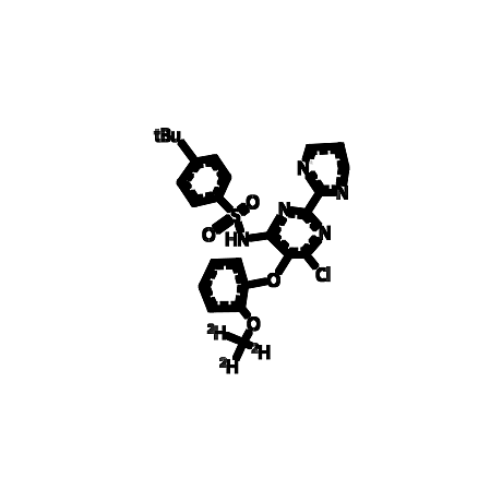 [2H]C([2H])([2H])Oc1ccccc1Oc1c(Cl)nc(-c2ncccn2)nc1NS(=O)(=O)c1ccc(C(C)(C)C)cc1